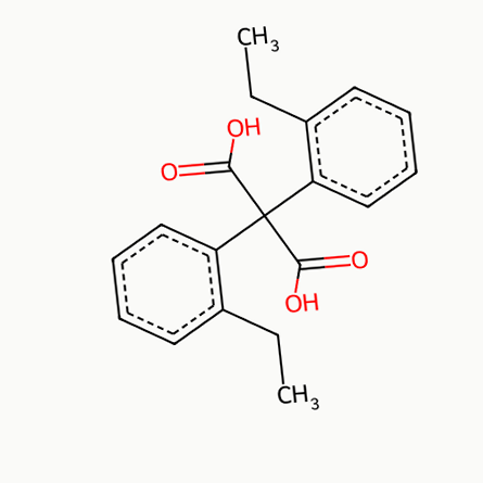 CCc1ccccc1C(C(=O)O)(C(=O)O)c1ccccc1CC